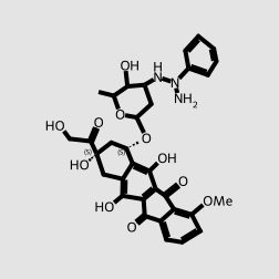 COc1cccc2c1C(=O)c1c(O)c3c(c(O)c1C2=O)C[C@@](O)(C(=O)CO)C[C@@H]3OC1CC(NN(N)c2ccccc2)C(O)C(C)O1